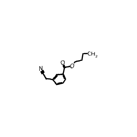 CCCCOC(=O)c1cccc(CC#N)c1